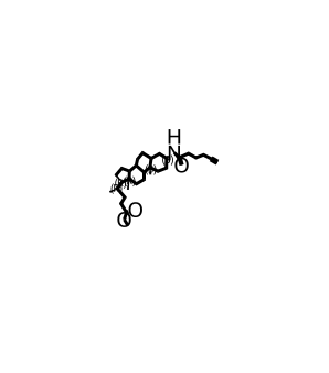 C#CCCCC(=O)N[C@H]1CC[C@@]2(C)C(CCC3C2CC[C@@]2(C)C3CC[C@@H]2[C@H](C)CCC(=O)OC)C1